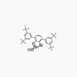 CC(C)(C)c1cc(-c2ccc(-c3cc(C(C)(C)C)cc(C(C)(C)C)c3)c(OBO)c2Br)cc(C(C)(C)C)c1